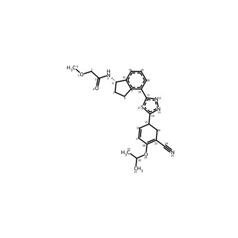 COCC(=O)N[C@H]1CCc2c(-c3nnc(C4C=CC(OC(C)C)=C(C#N)C4)s3)cccc21